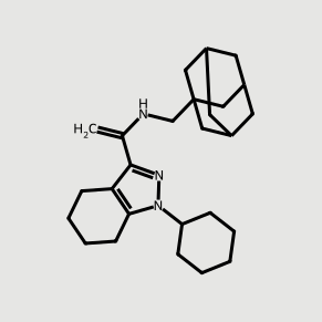 C=C(NCC12CC3CC(CC(C3)C1)C2)c1nn(C2CCCCC2)c2c1CCCC2